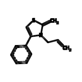 C=CCN1C(=C)SC=C1c1ccccc1